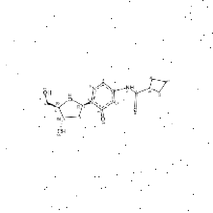 O=C(Nc1cnn([C@H]2C[C@H](O)[C@@H](CO)O2)c(=O)n1)C1CCC1